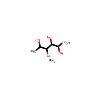 O=CC(O)C(O)C(O)C(O)C(=O)O.[BiH3]